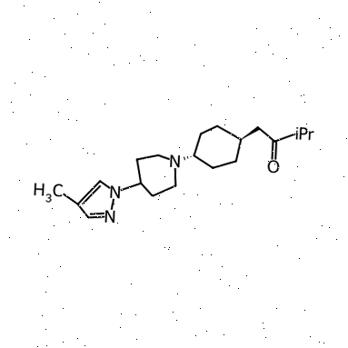 Cc1cnn(C2CCN([C@H]3CC[C@H](CC(=O)C(C)C)CC3)CC2)c1